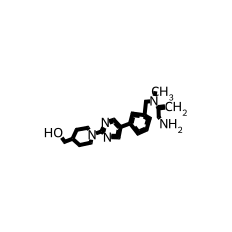 C=C(CN)N(C)Cc1cccc(-c2cnc(N3CCC(CO)CC3)nc2)c1